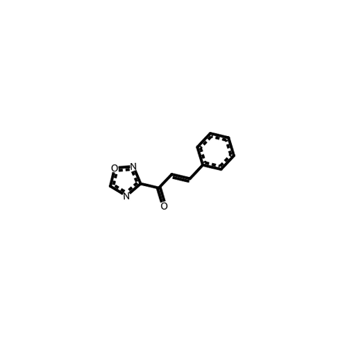 O=C(/C=C/c1ccccc1)c1ncon1